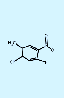 CC1C=C([N+](=O)[O-])C(F)=CC1Cl